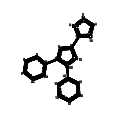 c1ccc(-c2cc(-c3nnco3)nn2-c2ccccc2)cc1